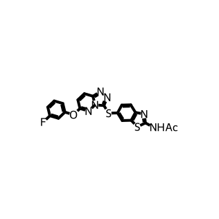 [CH2]C(=O)Nc1nc2ccc(Sc3nnc4ccc(Oc5cccc(F)c5)nn34)cc2s1